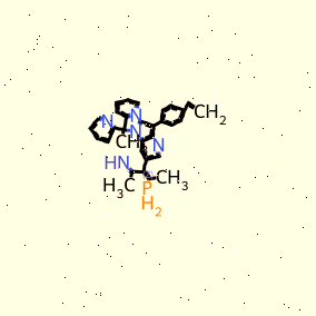 C=Cc1ccc(-c2cn(C(C)(c3ccccn3)c3ccccn3)c3cc(/C(C(C)=N)=C(\C)P)cnc23)cc1